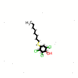 CCCCCCCCSc1cc(Cl)c(O)c(Cl)c1Cl